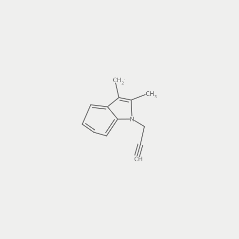 C#CCn1c(C)c([CH2])c2ccccc21